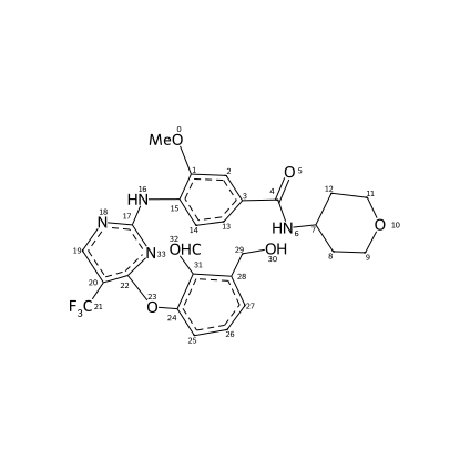 COc1cc(C(=O)NC2CCOCC2)ccc1Nc1ncc(C(F)(F)F)c(Oc2cccc(CO)c2C=O)n1